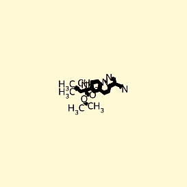 CC(C)OC(=O)[C@@](N)(CC(C)(C)C)c1ccc2c(ccc3c(C#N)cnn32)c1